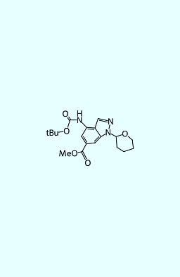 COC(=O)c1cc(NC(=O)OC(C)(C)C)c2cnn(C3CCCCO3)c2c1